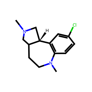 CN1CC2CCN(C)c3ccc(Cl)cc3[C@H]2C1